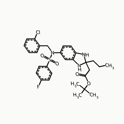 CCCC1(CC(=O)OC(C)(C)C)Nc2ccc(N(Cc3ccccc3Cl)S(=O)(=O)c3ccc(F)cc3)cc2N1